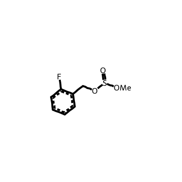 COS(=O)OCc1ccccc1F